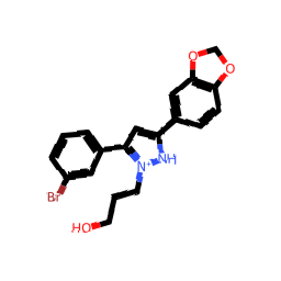 OCCC[n+]1[nH]c(-c2ccc3c(c2)OCO3)cc1-c1cccc(Br)c1